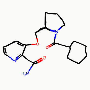 NC(=O)c1ncccc1OCC1CCCN1C(=O)C1CCCCC1